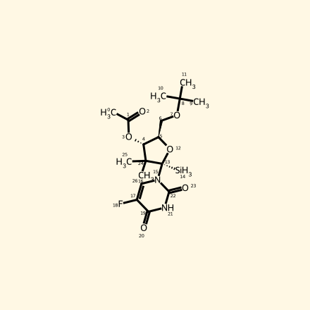 CC(=O)O[C@@H]1[C@@H](COC(C)(C)C)O[C@@]([SiH3])(n2cc(F)c(=O)[nH]c2=O)C1(C)C